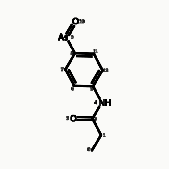 CCC(=O)Nc1ccc([As]=O)cc1